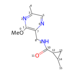 COc1nc(C)cnc1CNC(=O)C1CC1C